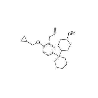 C=CCc1cc(C2(C3CCC(CCC)CC3)CCCCC2)ccc1OCC1CC1